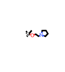 C[Si](C)(C)OCCN1CCCC1